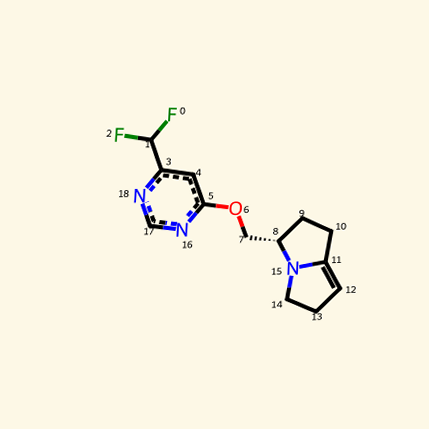 FC(F)c1cc(OC[C@@H]2CCC3=CCCN32)ncn1